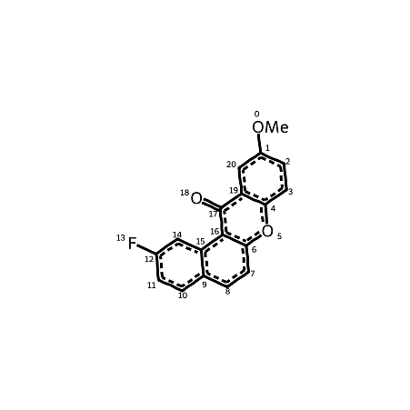 COc1ccc2oc3ccc4ccc(F)cc4c3c(=O)c2c1